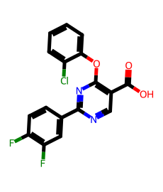 O=C(O)c1cnc(-c2ccc(F)c(F)c2)nc1Oc1ccccc1Cl